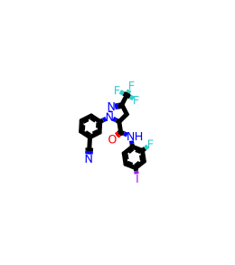 N#Cc1cccc(N2N=C(C(F)(F)F)CC2C(=O)Nc2ccc(I)cc2F)c1